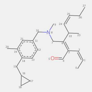 C/C=C\C(C=O)=C(\CN(C)Cc1ccc(CC2CC2)c(C)c1)C(C)/C=C\CC